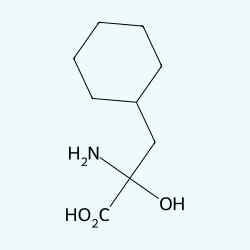 NC(O)(CC1CCCCC1)C(=O)O